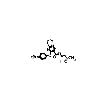 CCCSc1ncc(C(=O)OCCN(C)C)c(Oc2ccc(C(C)(C)C)cc2)n1